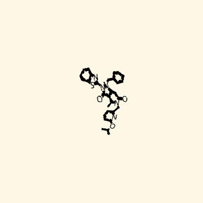 Cc1c2c(=O)n(-c3nc4ccccc4s3)n(Cc3ccccc3)c2cc(=O)n1Cc1cccc(OC(C)C)n1